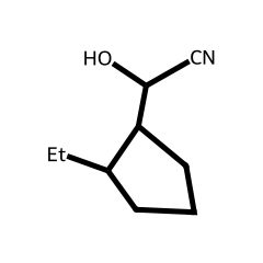 CCC1CCCC1C(O)C#N